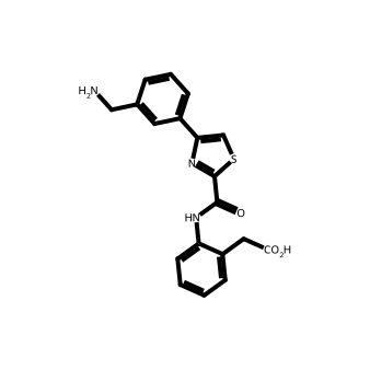 NCc1cccc(-c2csc(C(=O)Nc3ccccc3CC(=O)O)n2)c1